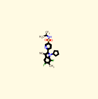 Cc1c(F)cc2c(C#N)c(-c3ccc(S(=O)(=O)N[C@@H](C)C(F)(F)F)cn3)n(C3CCCC3)c2c1F